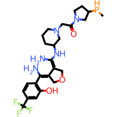 CPC1CCN(C(=O)CN2CCCC(N/C(N)=C3\COC\C3=C(\N)c3ccc(C(F)(F)F)cc3O)C2)C1